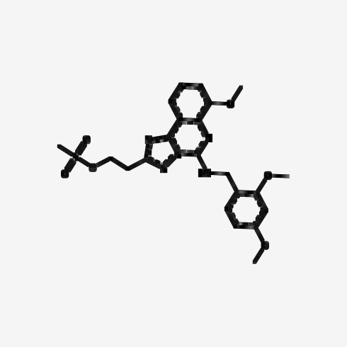 COc1ccc(CNc2nc3c(OC)cccc3c3nc(CCOS(C)(=O)=O)nn23)c(OC)c1